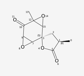 C[C@@H]1C[C@]2(OC1=O)C1OC1C(=O)C1(C)OC12